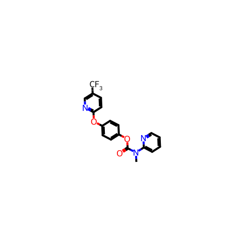 CN(C(=O)Oc1ccc(Oc2ccc(C(F)(F)F)cn2)cc1)c1ccccn1